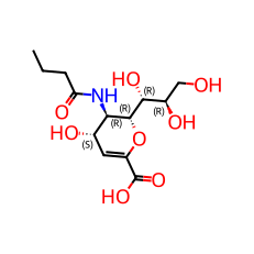 CCCC(=O)N[C@H]1[C@H]([C@H](O)[C@H](O)CO)OC(C(=O)O)=C[C@@H]1O